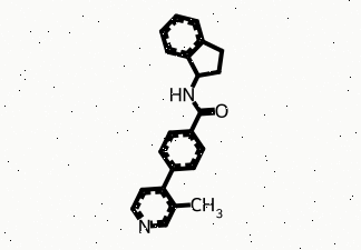 Cc1cnccc1-c1ccc(C(=O)NC2CCc3ccccc32)cc1